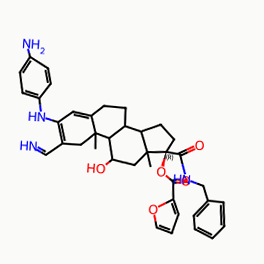 CC12CC(C=N)=C(Nc3ccc(N)cc3)C=C1CCC1C2C(O)CC2(C)C1CC[C@]2(OC(=O)c1ccco1)C(=O)NCc1ccccc1